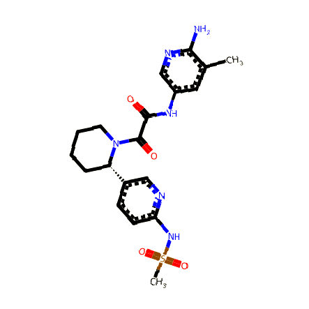 Cc1cc(NC(=O)C(=O)N2CCCC[C@H]2c2ccc(NS(C)(=O)=O)nc2)cnc1N